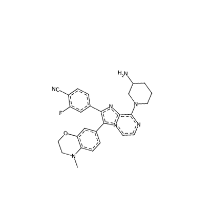 CN1CCOc2cc(-c3c(-c4ccc(C#N)c(F)c4)nc4c(N5CCCC(N)C5)nccn34)ccc21